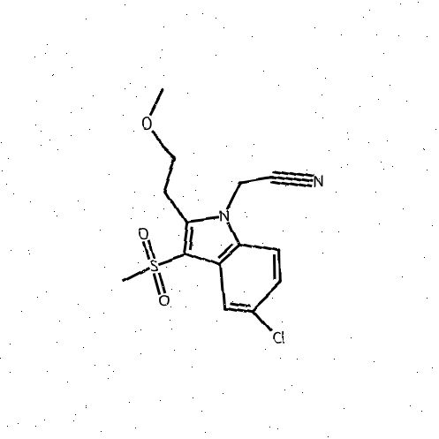 COCCc1c(S(C)(=O)=O)c2cc(Cl)ccc2n1CC#N